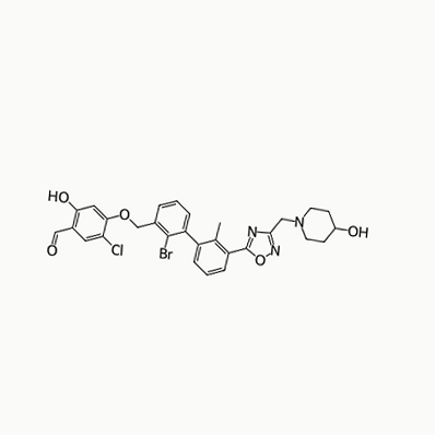 Cc1c(-c2nc(CN3CCC(O)CC3)no2)cccc1-c1cccc(COc2cc(O)c(C=O)cc2Cl)c1Br